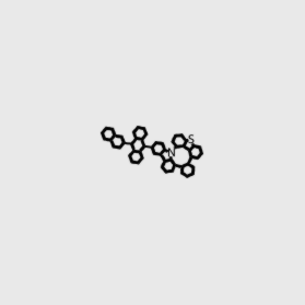 c1ccc2cc(-c3c4ccccc4c(-c4ccc5c(c4)c4cccc6c7ccccc7c7cccc8sc9cccc(c9c87)n5c64)c4ccccc34)ccc2c1